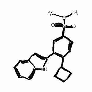 CN(C)S(=O)(=O)c1ccc(C2CCC2)c(-c2cc3ccccc3[nH]2)c1